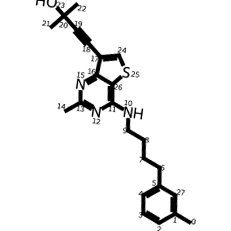 Cc1cccc(CCCCNc2nc(C)nc3c(C#CC(C)(C)O)csc23)c1